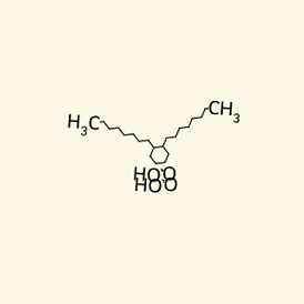 CCCCCCCCC1CCCCC1CCCCCCCC.O=CO.O=CO